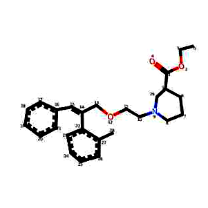 CCOC(=O)C1CCCN(CCOC/C(=C/c2ccccc2)c2ccccc2C)C1